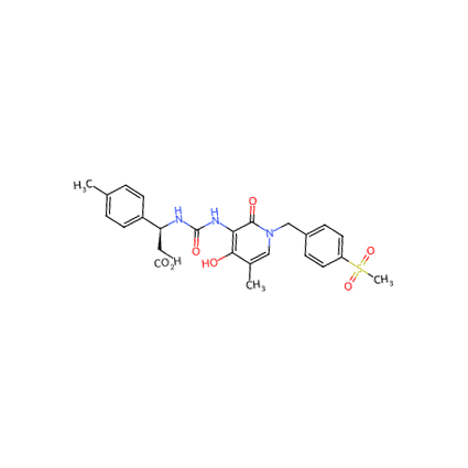 Cc1ccc([C@H](CC(=O)O)NC(=O)Nc2c(O)c(C)cn(Cc3ccc(S(C)(=O)=O)cc3)c2=O)cc1